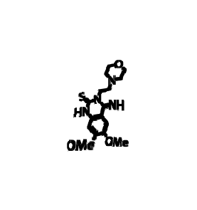 COc1cc2[nH]c(=S)n(CCN3CCOCC3)c(=N)c2cc1OC